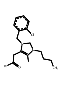 CCCCN1CN(Cc2ccccc2Cl)C(CC(=O)O)=C1F